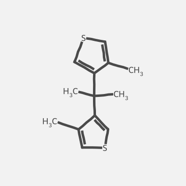 Cc1cscc1C(C)(C)c1cscc1C